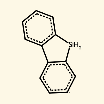 [c]1ccc2c(c1)[SiH2]c1[c]cccc1-2